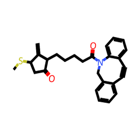 C=C1C(SC)CC(=O)C1CCCCC(=O)N1Cc2ccccc2C#Cc2ccccc21